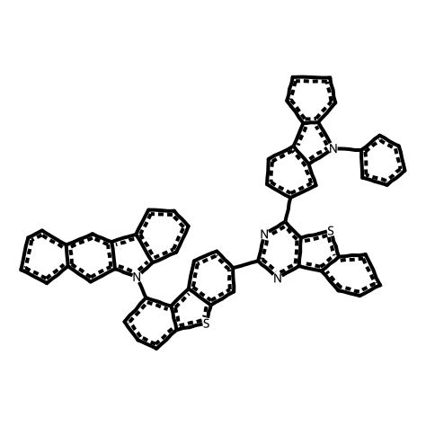 c1ccc(-n2c3ccccc3c3ccc(-c4nc(-c5ccc6c(c5)sc5cccc(-n7c8ccccc8c8cc9ccccc9cc87)c56)nc5c4sc4ccccc45)cc32)cc1